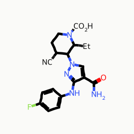 CCC1C(n2cc(C(N)=O)c(Nc3ccc(F)cc3)n2)C(C#N)CCN1C(=O)O